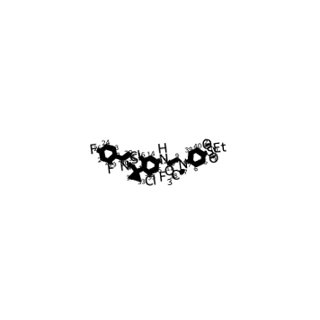 CCS(=O)(=O)c1ccc(N(CC(=O)Nc2cc(Cl)c(C3(c4nc(-c5ccc(F)cc5F)cs4)CC3)c(Cl)c2)CC(F)(F)F)cc1